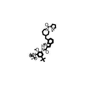 COc1c(NC(=O)c2cc3cccc(CC4CCCN(C(=O)[C@H]5CCCN5C)CC4)c3n2C)cc(C(C)(C)C)cc1NS(C)(=O)=O